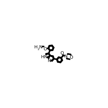 NCOc1ccccc1-c1c[nH]c2ncc(-c3cccc(C(=O)N4CCOCC4)c3)cc12